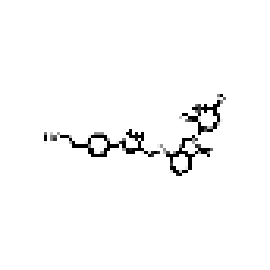 O=C1CCC(N2Cc3c(OCc4cn(-c5ccc(CCO)cc5)nn4)cccc3C2=O)C(=O)N1